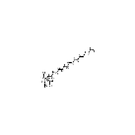 CCCCCCCCC=CCCCCCCCC[N+]1(CC)C=NCC1